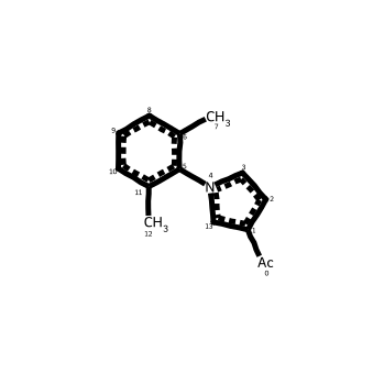 CC(=O)c1ccn(-c2c(C)cccc2C)c1